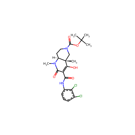 CN1C(=O)C(C(=O)Nc2cccc(Cl)c2Cl)=C(O)[C@@]2(C)CN(C(=O)OC(C)(C)C)CC[C@H]12